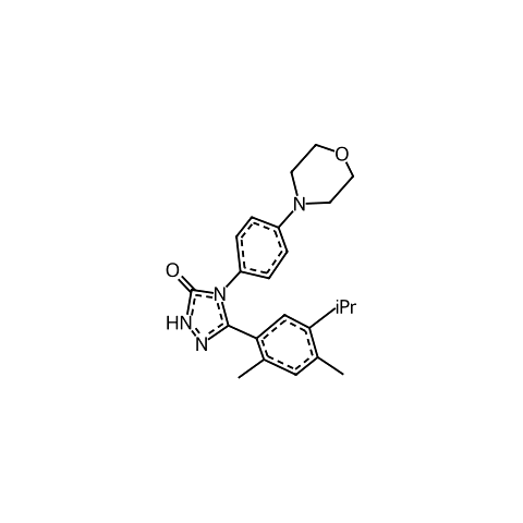 Cc1cc(C)c(C(C)C)cc1-c1n[nH]c(=O)n1-c1ccc(N2CCOCC2)cc1